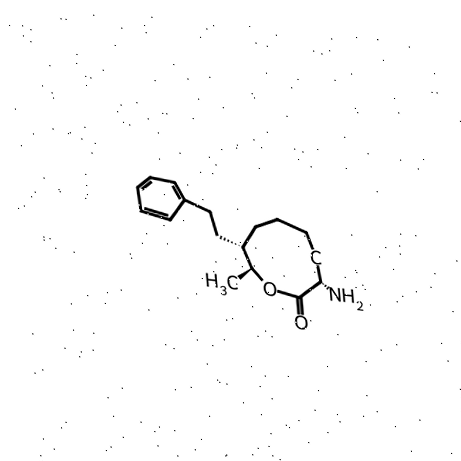 C[C@@H]1OC(=O)[C@@H](N)CCCC[C@H]1CCc1ccccc1